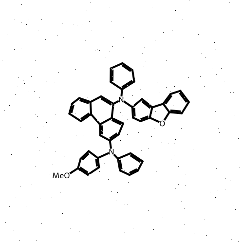 COc1ccc(N(c2ccccc2)c2ccc3c(N(c4ccccc4)c4ccc5oc6ccccc6c5c4)cc4ccccc4c3c2)cc1